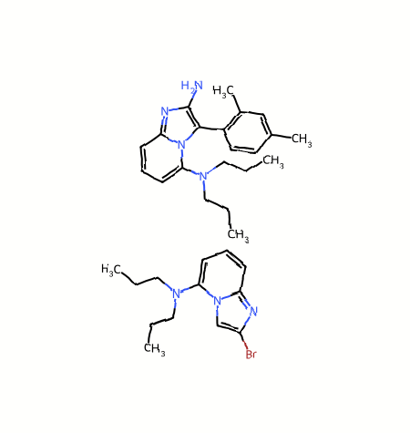 CCCN(CCC)c1cccc2nc(Br)cn12.CCCN(CCC)c1cccc2nc(N)c(-c3ccc(C)cc3C)n12